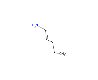 [CH2]CCC=CN